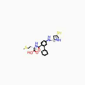 CSCC[C@H](NC(=O)c1ccc(NC[C@@H]2C[C@H](S)CN2)cc1-c1ccccc1)C(=O)O